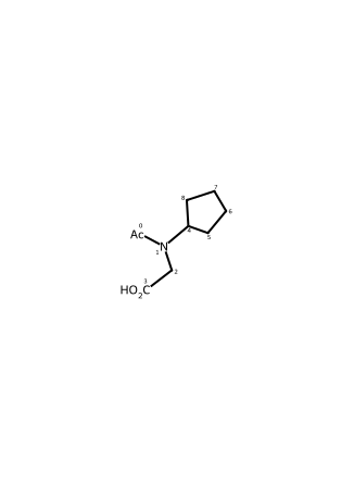 CC(=O)N(CC(=O)O)C1CCCC1